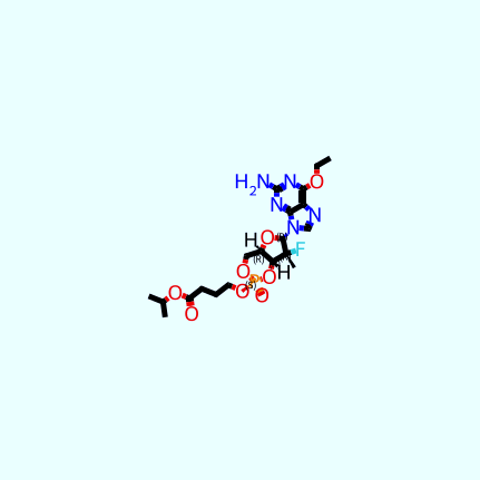 CCOc1nc(N)nc2c1ncn2[C@@H]1O[C@@H]2CO[P@](=O)(OCCCC(=O)OC(C)C)O[C@H]2[C@@]1(C)F